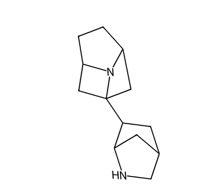 C1NC2CC1CC2C12CC3CCC(C1)N32